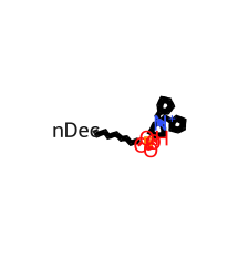 CCCCCCCCCCCCCCCCCCOP(=O)(O)OC1CC[N+](Cc2ccccc2)(Cc2ccccc2)CC1